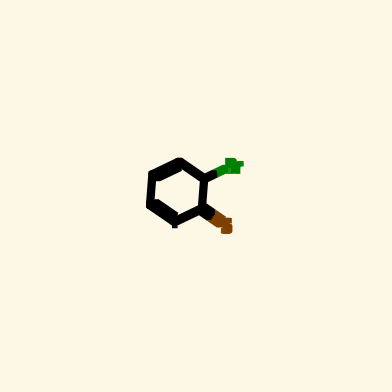 S=C1[C]=CC=CC1Br